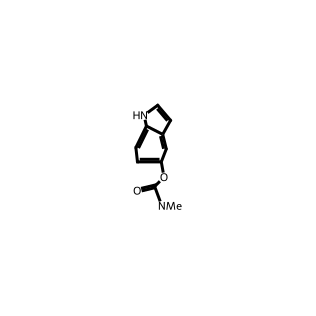 CNC(=O)Oc1ccc2[nH]ccc2c1